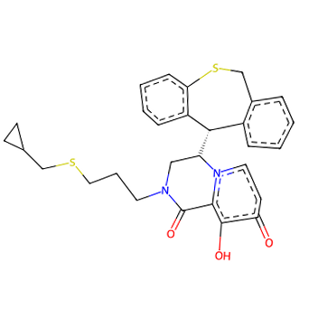 O=C1c2c(O)c(=O)ccn2C([C@H]2c3ccccc3CSc3ccccc32)CN1CCCSCC1CC1